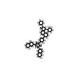 c1ccc(-c2cc(-c3ccccc3)c3c(ccc4c(-c5ccc(-c6nc(-c7ccc8ccccc8c7)nc(-c7ccc8ccccc8c7)n6)cc5)cccc43)n2)cc1